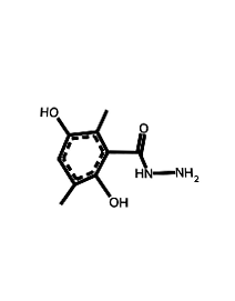 Cc1cc(O)c(C)c(C(=O)NN)c1O